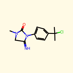 CN1CC(=N)N(c2ccc(C(C)(C)Cl)cc2)C1=O